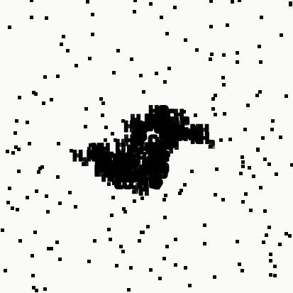 CC(C)C[C@H](NC(=O)[C@H](CCCNC(=N)N)NC(=O)[C@@H](NC(=O)[C@@H](N)Cc1c[nH]c2ccccc12)[C@@H](C)O)C(=O)N[C@@H](CC(=O)O)C(=O)NCC(=O)N1CCC[C@H]1C(=O)N[C@@H](CC(C)C)C(=O)N1CCC[C@H]1C(=O)N[C@@H](CO)C(=O)NCC(=O)N[C@H](C(=O)N[C@@H](CCCNC(=N)N)C(=O)N[C@H](C(=O)N[C@@H](C)C(=O)O)C(C)C)C(C)C